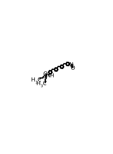 CCCCN(CCCC)C(=O)Nc1ccc(Cc2cccc(Cc3cccc(Cc4ccc(N=C=O)cc4)c3)c2)cc1